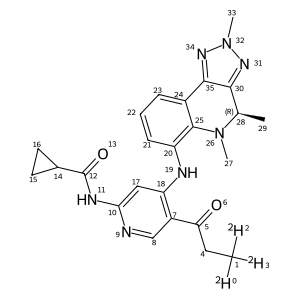 [2H]C([2H])([2H])CC(=O)c1cnc(NC(=O)C2CC2)cc1Nc1cccc2c1N(C)[C@H](C)c1nn(C)nc1-2